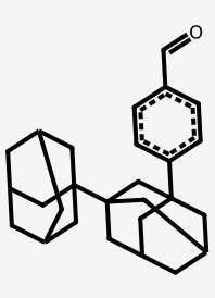 O=Cc1ccc(C23CC4CC(C2)CC(C25CC6CC(CC(C6)C2)C5)(C4)C3)cc1